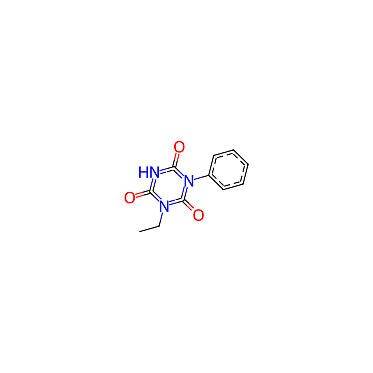 CCn1c(=O)[nH]c(=O)n(-c2ccccc2)c1=O